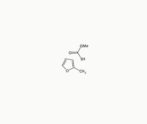 COC(=O)S.Cc1c[c]co1